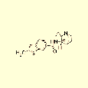 Cc1cc2ccc(C(=O)N[C@H]3C4CCN(CC4)C34CC4)cc2s1